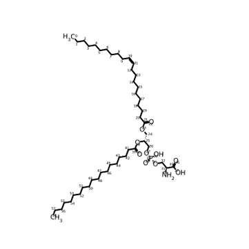 CCCCCCCCCC/C=C\CCCCCCCCCC(=O)OC[C@H](COP(=O)(O)OC[C@H](N)C(=O)O)OC(=O)CCCCCCCCCCCCCCCCCC